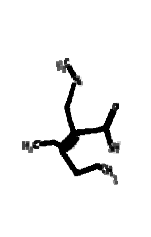 CCC(C)=C(CSC)C(=O)S